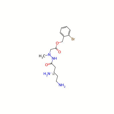 CN(CC(=O)OCc1ccccc1Br)NC(=O)C[C@@H](N)CCN